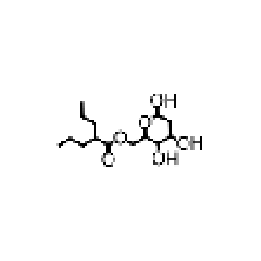 CCCC(CCC)C(=O)OCC1OC(O)CC(O)C1O